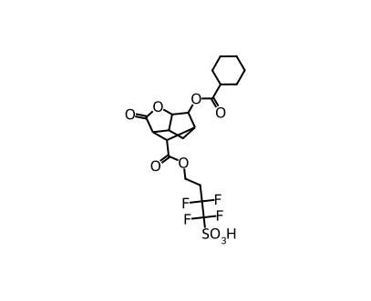 O=C(OC1C2CC3C1OC(=O)C3C2C(=O)OCCC(F)(F)C(F)(F)S(=O)(=O)O)C1CCCCC1